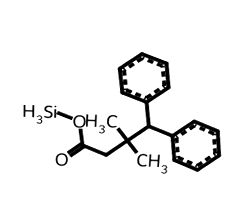 CC(C)(CC(=O)O[SiH3])C(c1ccccc1)c1ccccc1